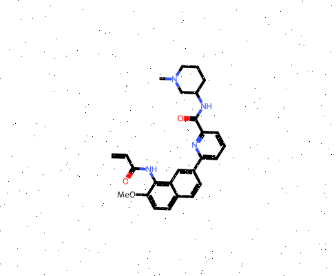 C=CC(=O)Nc1c(OC)ccc2ccc(-c3cccc(C(=O)NC4CCCN(C)C4)n3)cc12